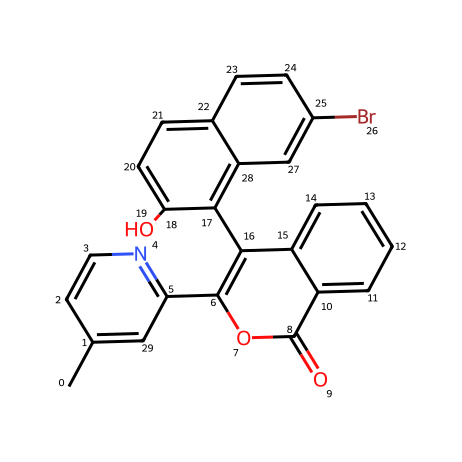 Cc1ccnc(-c2oc(=O)c3ccccc3c2-c2c(O)ccc3ccc(Br)cc23)c1